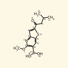 COc1nc2cc(C(=O)CC(C)C)sc2cc1B(O)O